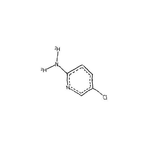 [2H]N([2H])c1ccc(Cl)cn1